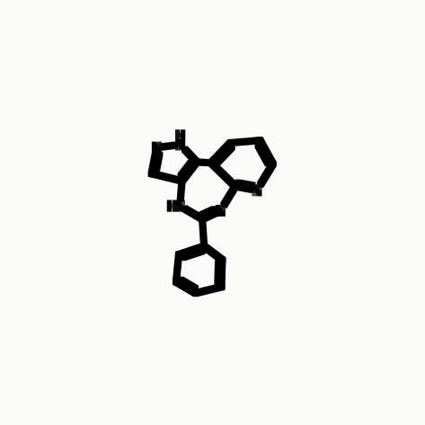 c1ccc(C2=Nc3ncccc3-c3[nH]ncc3N2)cc1